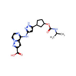 CC(C)NC(=O)OC1CCC(c2cc(Nc3nccn4nc(C(=O)O)cc34)n[nH]2)C1